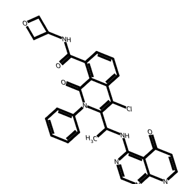 CC(Nc1ncnc2[nH]ccc(=O)c12)c1c(Cl)c2cccc(C(=O)NC3COC3)c2c(=O)n1-c1ccccc1